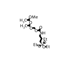 CCO[Si](CCCNC(=O)OCOC(C)OC(C)OC)(OCC)OCC